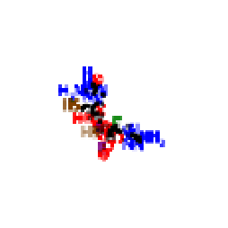 Nc1nc2c(ncn2[C@@H]2O[C@H](CO[P@@](=O)(S)O[C@H]3[C@@H](F)[C@H](n4cnc5c(N)ncnc54)O[C@@H]3COP=O)[C@@H](O)[C@H]2CCS)c(=O)[nH]1